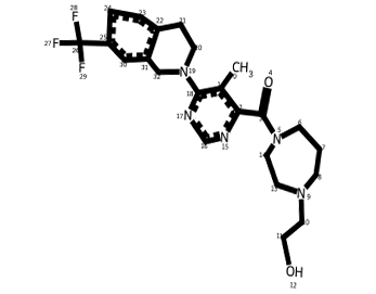 Cc1c(C(=O)N2CCCN(CCO)CC2)ncnc1N1CCc2ccc(C(F)(F)F)cc2C1